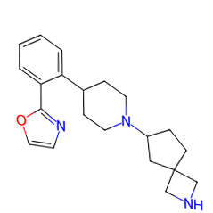 c1ccc(C2CCN(C3CCC4(CNC4)C3)CC2)c(-c2ncco2)c1